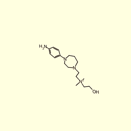 C[N+](C)(CCO)CCN1CCCN(c2ccc(N)cc2)CC1